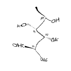 CC(=O)O[C@@H]([C@H](OC(C)=O)[C@@H](C)O)[C@H](C=O)OC(C)=O